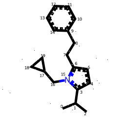 CC(C)c1ccc(CCc2ccccc2)n1CC1CC1